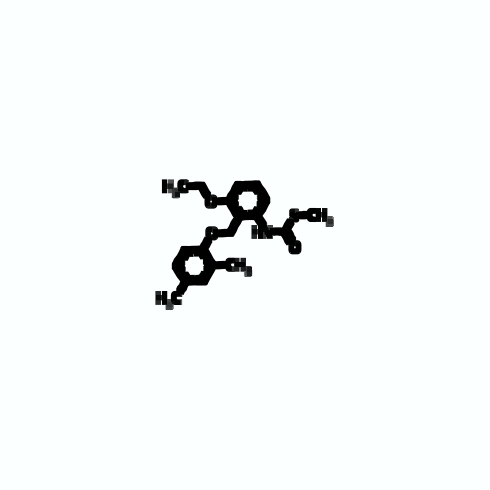 CCOc1cccc(NC(=O)SC)c1COc1ccc(C)cc1C